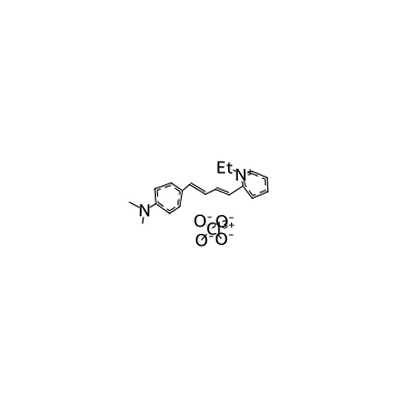 CC[n+]1ccccc1C=CC=Cc1ccc(N(C)C)cc1.[O-][Cl+3]([O-])([O-])[O-]